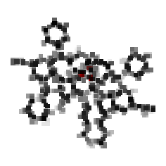 CC(C)(C)c1cc(N(c2ccccc2)c2ccccc2)c2c(c1)c1c3ccccc3cc3c4c5c6cc7ccccc7c7c8cc(C(C)(C)C)cc(N(c9ccccc9)c9ccccc9)c8n(c5ccc4n2c31)c67